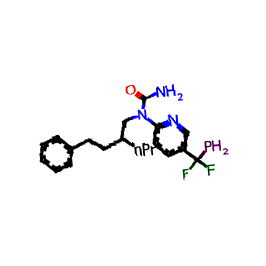 CCCC(CCc1ccccc1)CN(C(N)=O)c1ccc(C(F)(F)P)cn1